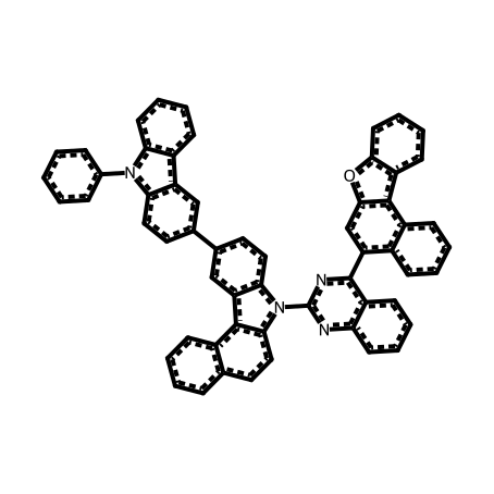 c1ccc(-n2c3ccccc3c3cc(-c4ccc5c(c4)c4c6ccccc6ccc4n5-c4nc(-c5cc6oc7ccccc7c6c6ccccc56)c5ccccc5n4)ccc32)cc1